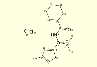 CC1=CC[C]([Zr+2]([NH]C(=O)C2CCCCC2)[SiH](C)C)=C1.[Cl-].[Cl-]